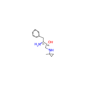 CC1(NC[C@@H](O)[C@@H](N)Cc2ccccc2)CC1